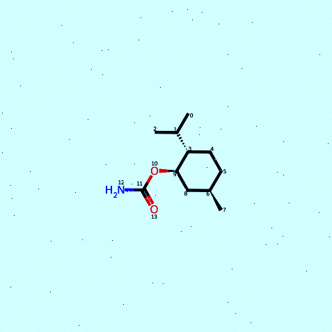 CC(C)[C@@H]1CC[C@@H](C)C[C@H]1OC(N)=O